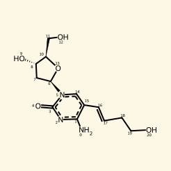 Nc1nc(=O)n([C@H]2C[C@H](O)[C@@H](CO)O2)cc1C=CCCO